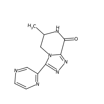 CC1Cn2c(nnc2-c2cnccn2)C(=O)N1